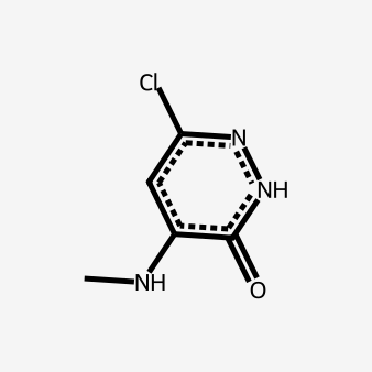 CNc1cc(Cl)n[nH]c1=O